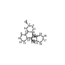 Ic1ccc2c(c1)c1ccccc1c1nc3ccccc3n21